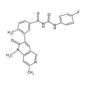 Cc1cc2c(cn1)cc(-c1cc(C(=O)NC(=O)Nc3ccc(F)cc3)ccc1C)c(=O)n2C